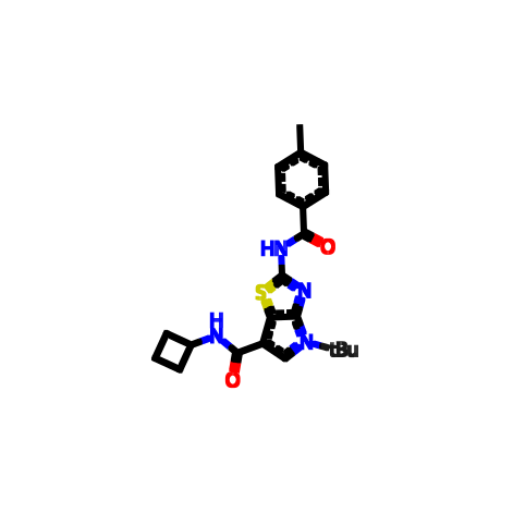 Cc1ccc(C(=O)Nc2nc3c(s2)c(C(=O)NC2CCC2)cn3C(C)(C)C)cc1